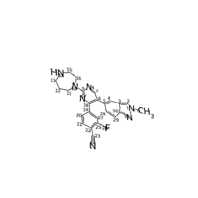 Cn1cc2cc(-c3cnc(N4CCCNCC4)nc3-c3ccc(C#N)c(F)c3)ccc2n1